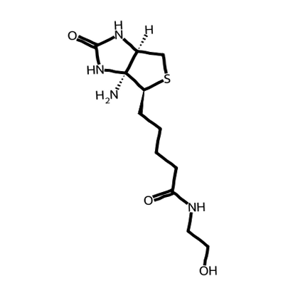 N[C@]12NC(=O)N[C@H]1CS[C@H]2CCCCC(=O)NCCO